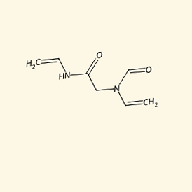 C=CNC(=O)CN(C=C)C=O